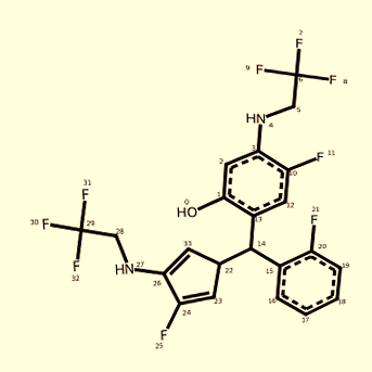 Oc1cc(NCC(F)(F)F)c(F)cc1C(c1ccccc1F)C1C=C(F)C(NCC(F)(F)F)=C1